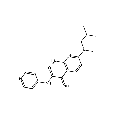 CC(C)CN(C)c1ccc(C(=N)C(=O)Nc2ccncc2)c(N)n1